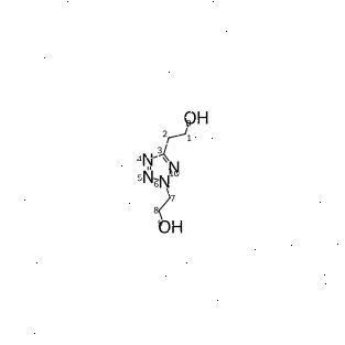 OCCc1nnn(CCO)n1